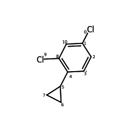 Clc1c[c]c(C2CC2)c(Cl)c1